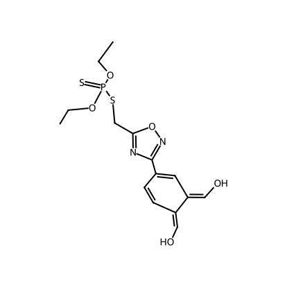 CCOP(=S)(OCC)SCc1nc(-c2ccc(=CO)c(=CO)c2)no1